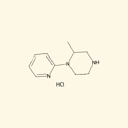 CC1CNCCN1c1ccccn1.Cl